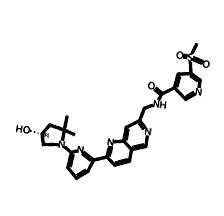 CC1(C)C[C@@H](O)CN1c1cccc(-c2ccc3cnc(CNC(=O)c4cncc(S(C)(=O)=O)c4)cc3n2)n1